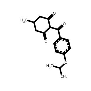 CC1CC(=O)C(C(=O)c2ccc(OC(C)C)cc2)C(=O)C1